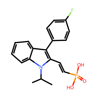 CC(C)n1c(C=CP(=O)(O)O)c(-c2ccc(F)cc2)c2ccccc21